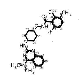 Cc1ccc(F)c(C(=O)NC[C@H]2CC[C@@H](Nc3nc(N(C)C)c4ccccc4n3)CC2)c1Cl